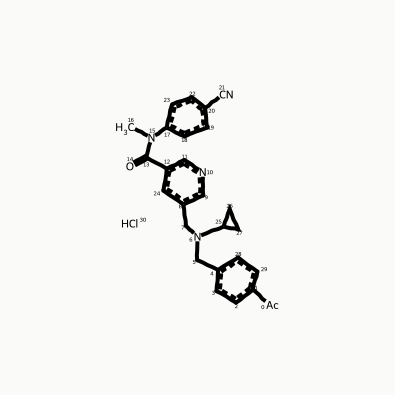 CC(=O)c1ccc(CN(Cc2cncc(C(=O)N(C)c3ccc(C#N)cc3)c2)C2CC2)cc1.Cl